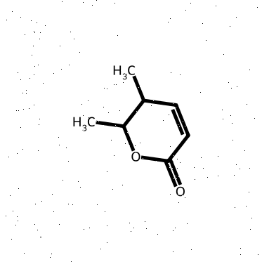 CC1C=CC(=O)OC1C